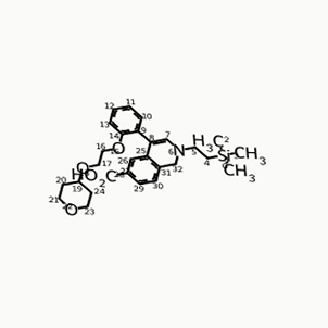 C[Si](C)(C)CCN1C=C(c2ccccc2OCCOC2CCOCC2)c2cc(C(=O)O)ccc2C1